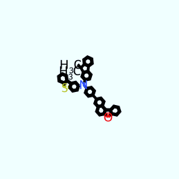 CC1(C)c2ccccc2-c2ccc(N(c3ccc(-c4ccc5c(ccc6oc7ccccc7c65)c4)cc3)c3ccc4sc5ccccc5c4c3)cc21